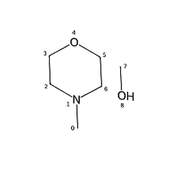 CN1CCOCC1.CO